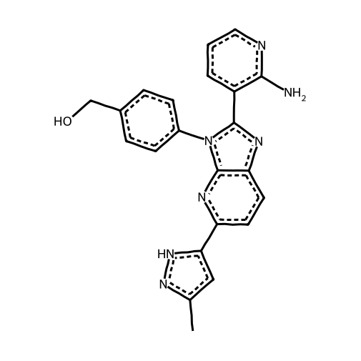 Cc1cc(-c2ccc3nc(-c4cccnc4N)n(-c4ccc(CO)cc4)c3n2)[nH]n1